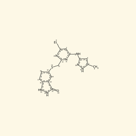 CCc1cc(Nc2cc(C)[nH]n2)nc(CSc2ccc3[nH][nH]c(=O)c3c2)n1